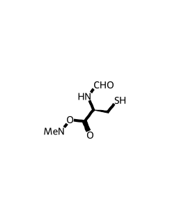 CNOC(=O)[C@H](CS)NC=O